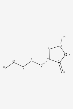 C=C1O[C@@H](C)C[C@H]1CCCCC